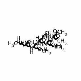 CNCCCC(CC(=O)NC(CCCNC)CC(=O)NC(CCCNC)CC(=O)NC(CCCNC)CC(=O)NC(CCC(C)=O)CC(C)=O)NC